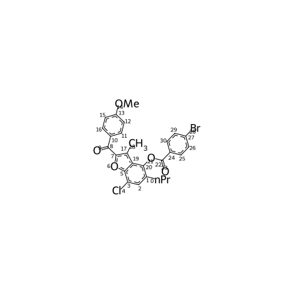 CCCc1cc(Cl)c2oc(C(=O)c3ccc(OC)cc3)c(C)c2c1OC(=O)c1ccc(Br)cc1